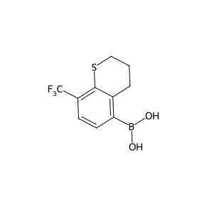 OB(O)c1ccc(C(F)(F)F)c2c1CCCS2